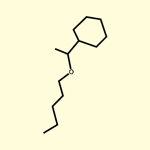 CCCCCO[C](C)C1CCCCC1